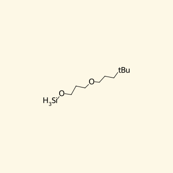 CC(C)(C)CCCOCCCO[SiH3]